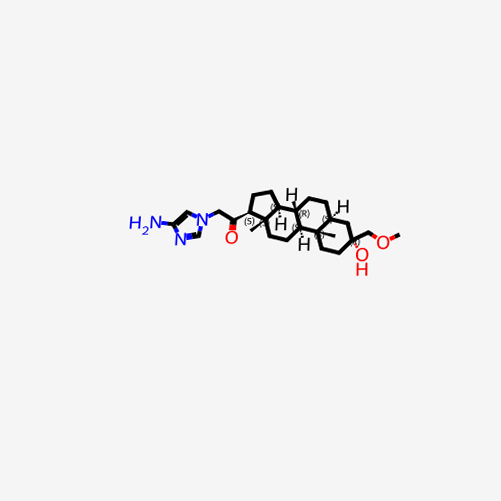 COC[C@@]1(O)CC[C@@]2(C)[C@@H](CC[C@@H]3[C@@H]2CC[C@]2(C)[C@@H](C(=O)Cn4cnc(N)c4)CC[C@@H]32)C1